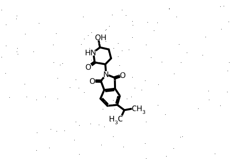 CC(C)c1ccc2c(c1)C(=O)N(C1CCC(O)NC1=O)C2=O